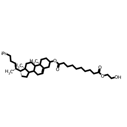 CC(C)CCC[C@@H](C)[C@H]1CCC2C3CC=C4CC(OC(=O)CCCCCCCCC(=O)OCCO)CC[C@]4(C)C3CC[C@@]21C